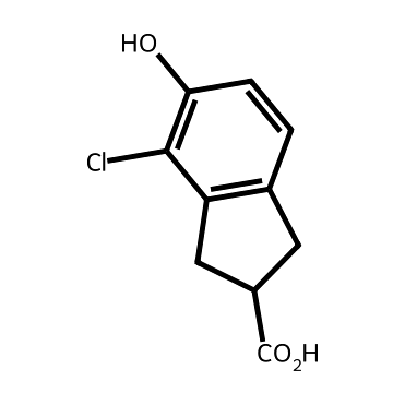 O=C(O)C1Cc2ccc(O)c(Cl)c2C1